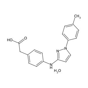 Cc1ccc(-n2ccc(Nc3ccc(CC(=O)O)cc3)n2)cc1.O